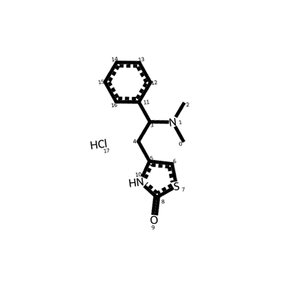 CN(C)C(Cc1csc(=O)[nH]1)c1ccccc1.Cl